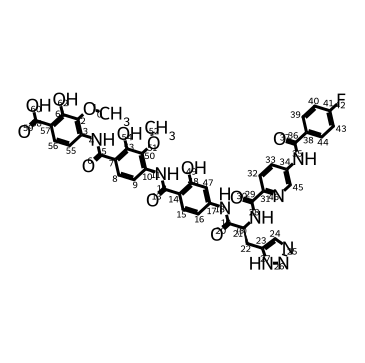 COc1c(NC(=O)c2ccc(NC(=O)c3ccc(NC(=O)[C@H](Cc4cnn[nH]4)NC(=O)c4ccc(NC(=O)c5ccc(F)cc5)cn4)cc3O)c(OC)c2O)ccc(C(=O)O)c1O